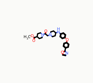 COC(=O)C1CCN(C(=O)CN2CCC(Nc3ccc(Oc4ccc(-c5ncco5)cc4)cc3)CC2)CC1